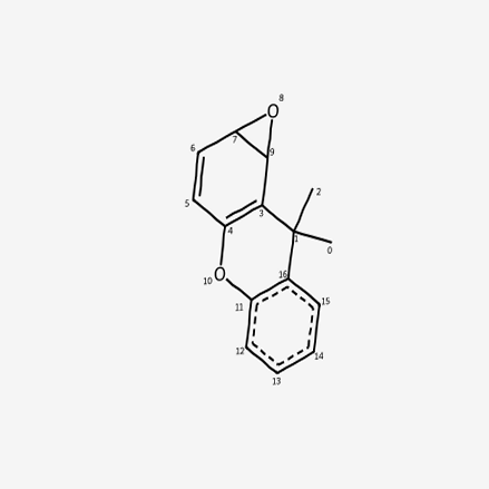 CC1(C)C2=C(C=CC3OC23)Oc2ccccc21